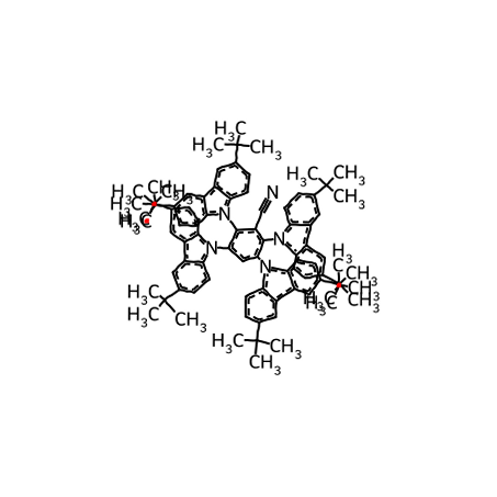 CC(C)(C)c1ccc2c(c1)c1cc(C(C)(C)C)ccc1n2-c1cc(-n2c3ccc(C(C)(C)C)cc3c3cc(C(C)(C)C)ccc32)c(-n2c3ccc(C(C)(C)C)cc3c3cc(C(C)(C)C)ccc32)c(C#N)c1-n1c2ccc(C(C)(C)C)cc2c2cc(C(C)(C)C)ccc21